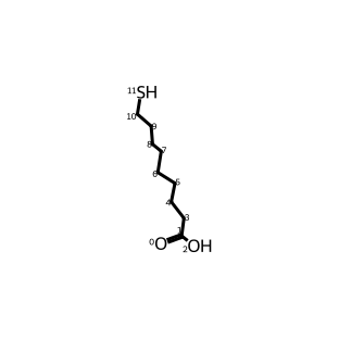 O=C(O)CCCCCCCCS